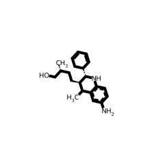 CC1c2cc(N)ccc2N[C@@H](C2C=CC=CC2)[C@@H]1CC[C@@H](C)CO